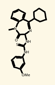 COc1cccc(NC(=S)NC2N=C(C3CCCCC3)c3ccccc3N(C)C2=O)c1